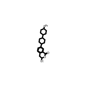 CCCC1CCC(C2CCC(c3ccc4c(c3)C(=O)OC(CC)C4)CC2)CC1